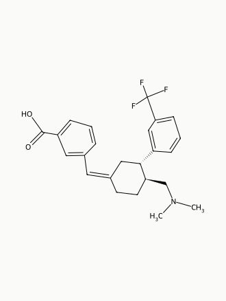 CN(C)C[C@H]1CC/C(=C/c2cccc(C(=O)O)c2)C[C@@H]1c1cccc(C(F)(F)F)c1